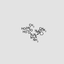 CCNC(=O)[C@@H](OCn1cnc2c(N)nc(C#CC3(O)CCCCC3C(C)(C)C)nc21)C(O)CO